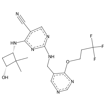 CC1(C)[C@H](O)C[C@@H]1Nc1nc(NCc2cncnc2OCCC(F)(F)F)ncc1C#N